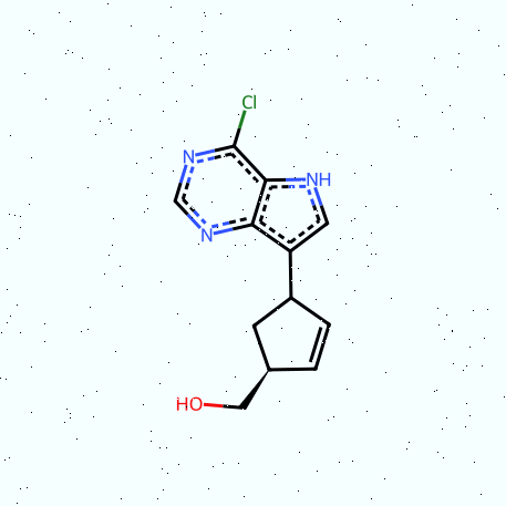 OC[C@@H]1C=CC(c2c[nH]c3c(Cl)ncnc23)C1